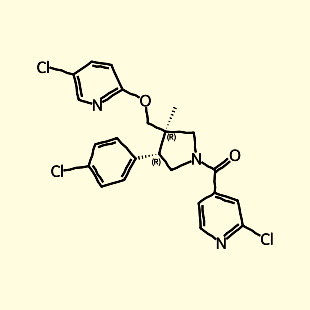 C[C@]1(COc2ccc(Cl)cn2)CN(C(=O)c2ccnc(Cl)c2)C[C@@H]1c1ccc(Cl)cc1